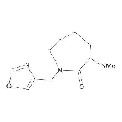 CNC1CCCCN(Cc2cocn2)C1=O